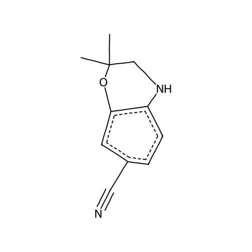 CC1(C)CNc2ccc(C#N)cc2O1